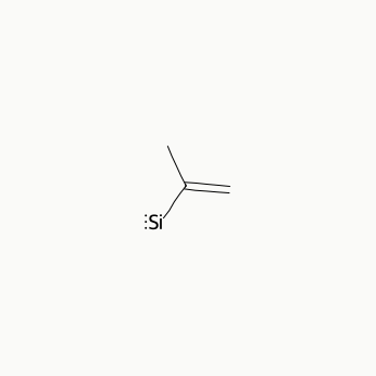 C=C(C)[Si]